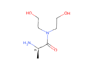 C[C@@H](N)C(=O)N(CCO)CCO